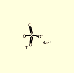 O=S(=O)([O-])[O-].[Ba+2].[Ti]